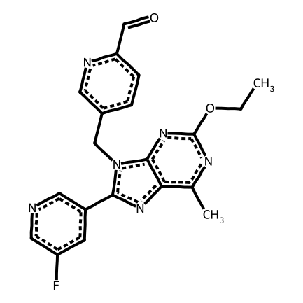 CCOc1nc(C)c2nc(-c3cncc(F)c3)n(Cc3ccc(C=O)nc3)c2n1